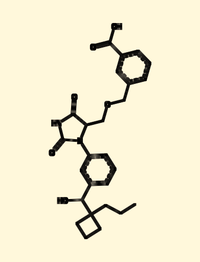 CCCC1(C(O)c2cccc(N3C(=O)NC(=O)C3COCc3cccc(C(=O)O)c3)c2)CCC1